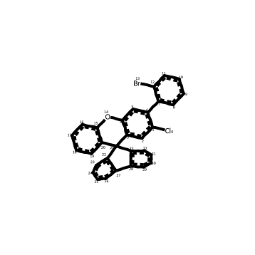 Clc1cc2c(cc1-c1ccccc1Br)Oc1ccccc1C21c2ccccc2-c2ccccc21